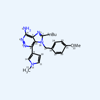 CCCCc1nc2c(N)nnc(-c3ccn(C)c3)c2n1Cc1ccc(OC)cc1